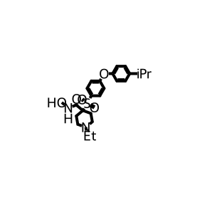 CCN1CCC(C(=O)NO)(S(=O)(=O)c2ccc(Oc3ccc(C(C)C)cc3)cc2)CC1